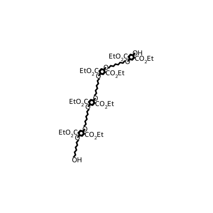 CCOC(=O)c1cc(OCCCCCCCCOc2cc(C(=O)OCC)c(OCCCCCCCCOc3cc(C(=O)OCC)c(OCCCCCCCCOc4cc(C(=O)OCC)c(OCCCCCCCCO)cc4C(=O)OCC)cc3C(=O)OCC)cc2C(=O)OCC)c(C(=O)OCC)cc1O